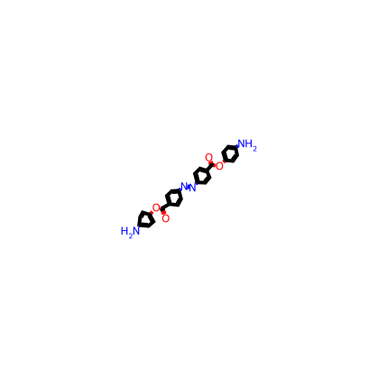 Nc1ccc(OC(=O)c2ccc(N=Nc3ccc(C(=O)Oc4ccc(N)cc4)cc3)cc2)cc1